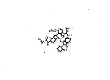 COc1nccc(C)c1-c1cc2cc(NC(=O)[C@@H]3C[C@@H]3F)ncc2n1CCn1c(-c2ccccc2C)c(F)c2cnc(NC(=O)C3CC3)cc21